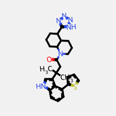 CC(C)(CC(=O)N1CCCC2C(c3nnn[nH]3)CCCC21)c1c[nH]c2cccc(-c3cccs3)c12